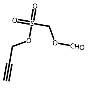 C#CCOS(=O)(=O)COC=O